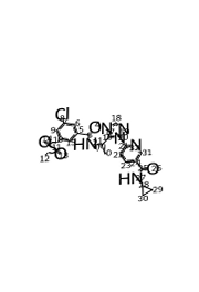 C[C@@H](NC(=O)c1cc(Cl)cc(S(C)(=O)=O)c1)c1ncnn1-c1ccc(C(=O)NC2CC2)cn1